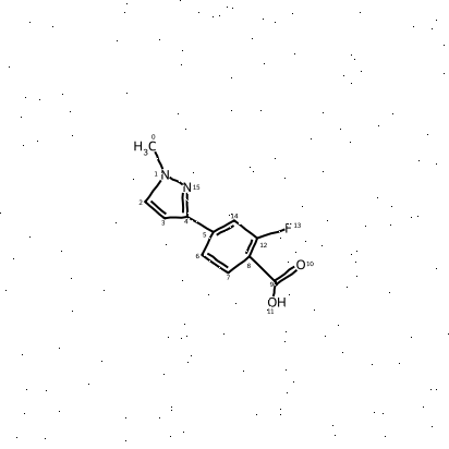 Cn1ccc(-c2ccc(C(=O)O)c(F)c2)n1